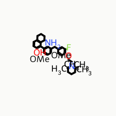 COc1cc(-c2c(O)ccc3c2CCCC3)c(N)c(Cc2ccc(OCCN3C(C)(C)CCCC3(C)C)c(F)c2)c1OC